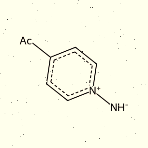 CC(=O)c1cc[n+]([NH-])cc1